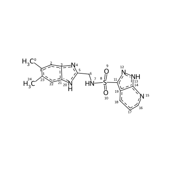 Cc1cc2nc(CNS(=O)(=O)c3n[nH]c4ncccc34)[nH]c2cc1C